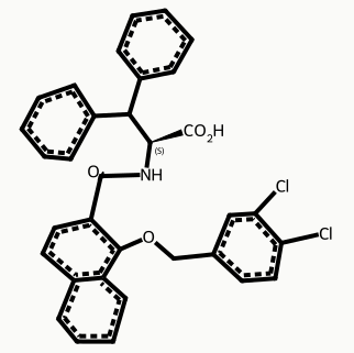 O=C(N[C@H](C(=O)O)C(c1ccccc1)c1ccccc1)c1ccc2ccccc2c1OCc1ccc(Cl)c(Cl)c1